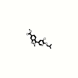 COC(=O)c1ccc2c(-c3cnc(OCC(C)C)c(Cl)c3)n(C)nc2c1